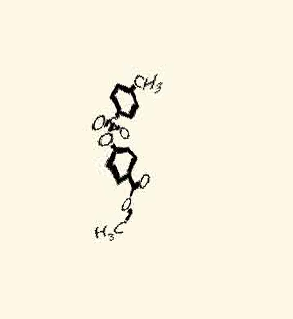 CCOC(=O)c1ccc(OS(=O)(=O)c2ccc(C)cc2)cc1